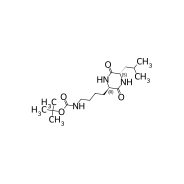 CC(C)C[C@@H]1NC(=O)[C@@H](CCCCNC(=O)OC(C)(C)C)NC1=O